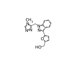 Cn1cnnc1Cn1nc(-c2ccc(CO)o2)c2ccccc21